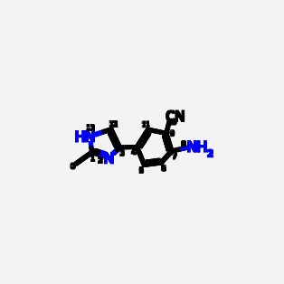 Cc1nc(-c2ccc(N)c(C#N)c2)c[nH]1